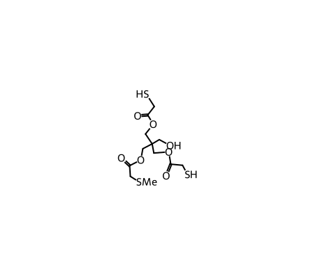 CSCC(=O)OCC(CO)(COC(=O)CS)COC(=O)CS